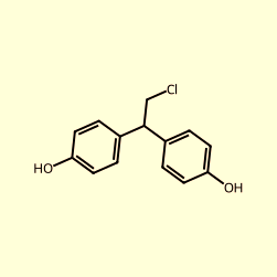 Oc1ccc(C(CCl)c2ccc(O)cc2)cc1